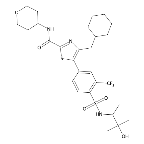 CC(NS(=O)(=O)c1ccc(-c2sc(C(=O)NC3CCOCC3)nc2CC2CCCCC2)cc1C(F)(F)F)C(C)(C)O